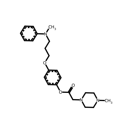 CN1CCN(CC(=O)Oc2ccc(OCCCN(C)c3ccccc3)cc2)CC1